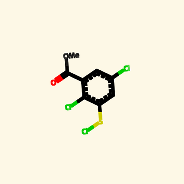 COC(=O)c1cc(Cl)cc(SCl)c1Cl